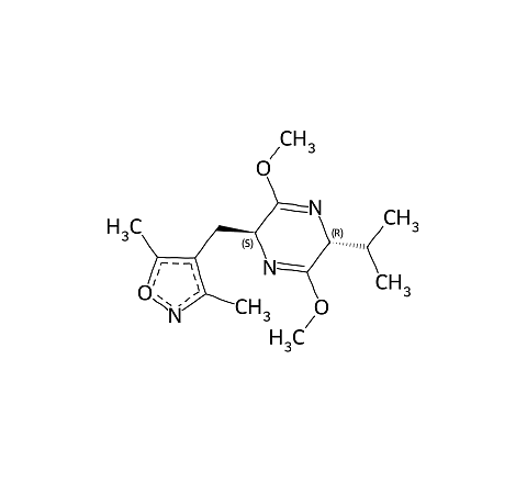 COC1=N[C@H](C(C)C)C(OC)=N[C@H]1Cc1c(C)noc1C